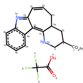 O=C(O)C(F)(F)F.O=C(O)C1CNC2=C3C(=Nc4ccccc43)C=CCC2C1